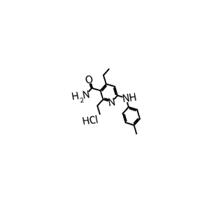 CCc1cc(Nc2ccc(C)cc2)nc(CC)c1C(N)=O.Cl